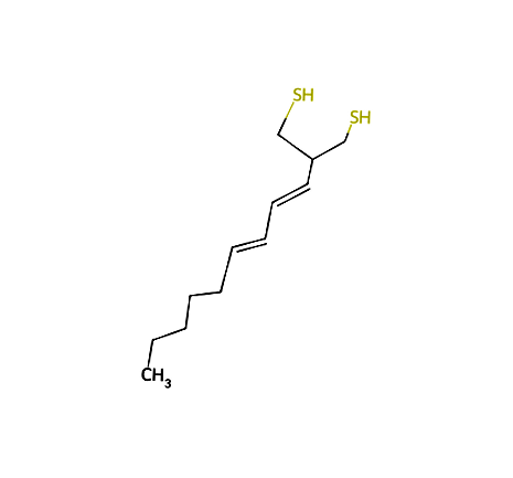 CCCCCC=CC=CC(CS)CS